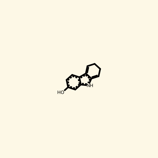 Oc1ccc2c3c([nH]c2c1)=CCCC=3